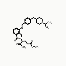 COC(=O)CCC(C(N)=O)N1Cc2c(OCc3ccc(CC4CCN(C(C)C)CC4)cc3)cccc2C1=O